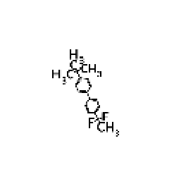 CC(C)(C)c1ccc(-c2ccc(C(C)(F)F)cc2)cc1